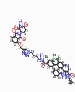 O=C1CCC(N2C(=O)c3cccc(OCc4cn(CCCCNC(=O)c5ccc(-c6cc7c(Nc8ccccc8)c(C(=O)NC8CC8)cnc7cc6C(F)(F)F)cc5F)nn4)c3C2=O)C(=O)N1